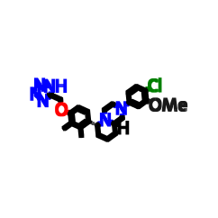 COc1cc(N2CCN3[C@@H](CCC[C@@H]3c3ccc(OCc4nnn[nH]4)c(C)c3C)C2)ccc1Cl